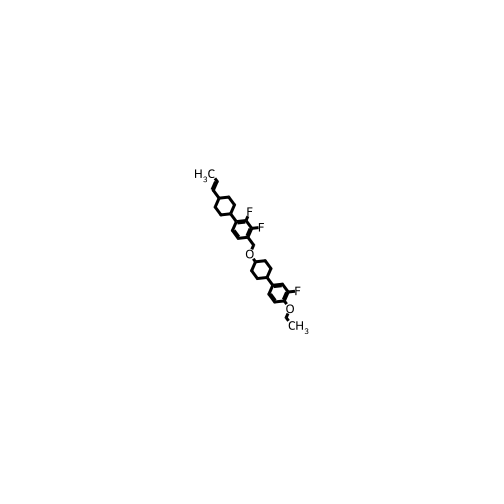 C/C=C/C1CCC(c2ccc(COC3CCC(c4ccc(OCC)c(F)c4)CC3)c(F)c2F)CC1